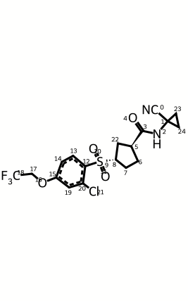 N#CC1(NC(=O)[C@H]2CC[C@H](S(=O)(=O)c3ccc(OCC(F)(F)F)cc3Cl)C2)CC1